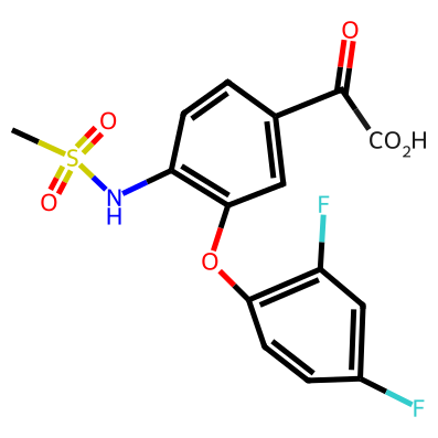 CS(=O)(=O)Nc1ccc(C(=O)C(=O)O)cc1Oc1ccc(F)cc1F